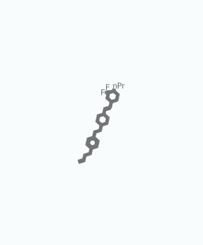 C=CCCc1ccc(CCC2CCC(/C=C/C3CCC(CCC)C(F)(F)C3)CC2)cc1